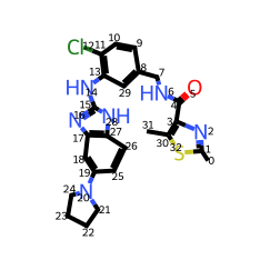 Cc1nc(C(=O)NCc2ccc(Cl)c(Nc3nc4cc(N5CCCC5)ccc4[nH]3)c2)c(C)s1